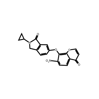 O=C1c2cc(Oc3c([N+](=O)[O-])ccc4c(=O)ccoc34)ccc2CN1C1CC1